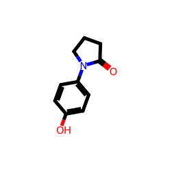 O=C1CCCN1c1ccc(O)cc1